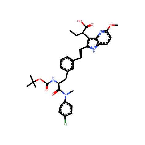 CCC(C(=O)O)c1c(C=Cc2cccc(CC(NC(=O)OC(C)(C)C)C(=O)N(C)c3ccc(Cl)cc3)c2)[nH]c2ccc(OC)nc12